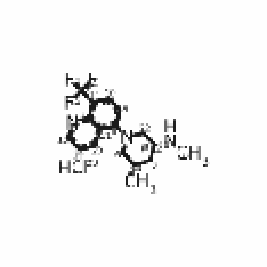 CN[C@@H]1C[C@H](C)CN(c2ccc(C(F)(F)F)c3ncccc23)C1.Cl